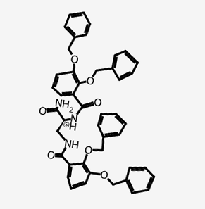 NC(=O)[C@H](CNC(=O)c1cccc(OCc2ccccc2)c1OCc1ccccc1)NC(=O)c1cccc(OCc2ccccc2)c1OCc1ccccc1